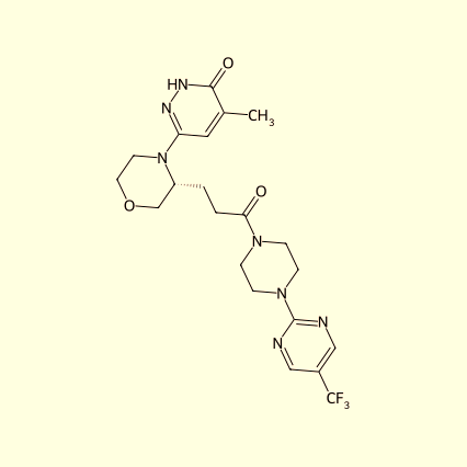 Cc1cc(N2CCOC[C@H]2CCC(=O)N2CCN(c3ncc(C(F)(F)F)cn3)CC2)n[nH]c1=O